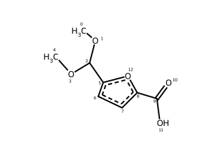 COC(OC)c1ccc(C(=O)O)o1